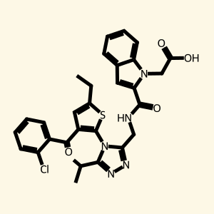 CCc1cc(C(=O)c2ccccc2Cl)c(-n2c(CNC(=O)c3cc4ccccc4n3CC(=O)O)nnc2C(C)C)s1